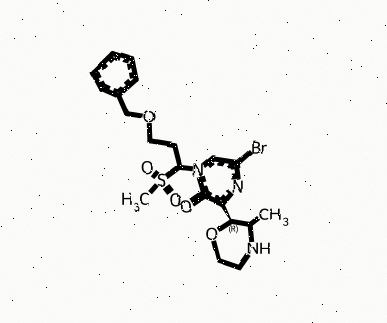 CC1NCCO[C@H]1c1nc(Br)cn(C(CCOCc2ccccc2)S(C)(=O)=O)c1=O